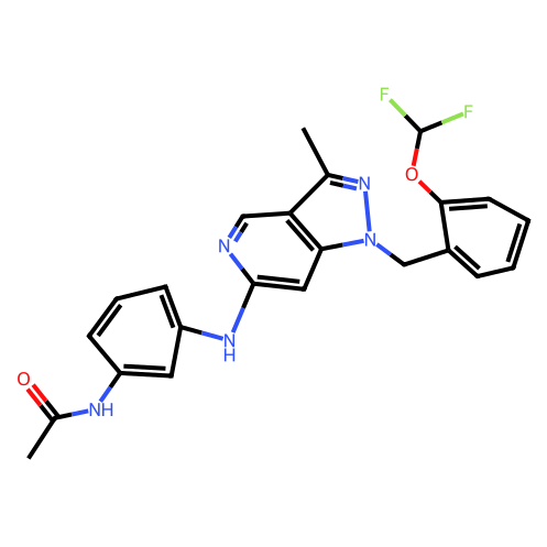 CC(=O)Nc1cccc(Nc2cc3c(cn2)c(C)nn3Cc2ccccc2OC(F)F)c1